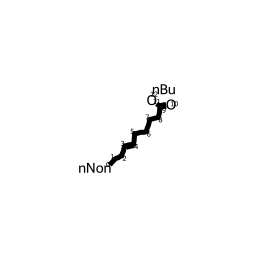 CCCCCCCCCCCC=CCCCCC(=O)OCCCC